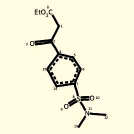 CCOC(=O)CC(=O)c1ccc(S(=O)(=O)N(C)C)cc1